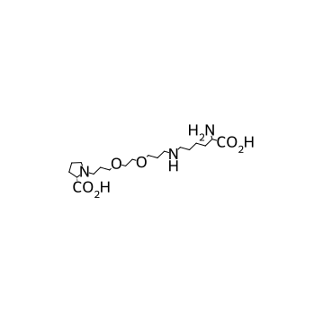 NC(CCCCNCCCOCCOCCCN1CCC[C@H]1C(=O)O)C(=O)O